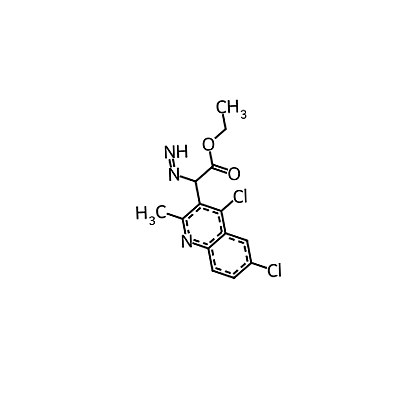 CCOC(=O)C(N=N)c1c(C)nc2ccc(Cl)cc2c1Cl